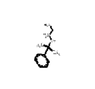 CC(C)(N[SiH2]C[SiH3])c1ccccc1